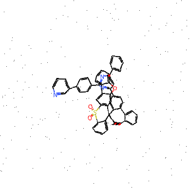 O=S1(=O)c2ccccc2C2(c3ccccc3-c3ccccc3-c3ccc(-c4cc(-c5ccccc5)nc(-c5ccc(-c6cccnc6)cc5)n4)cc32)c2cc3oc4ccccc4c3cc21